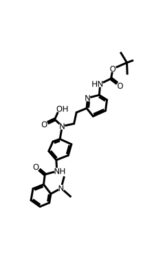 CN(C)c1ccccc1C(=O)Nc1ccc(N(CCc2cccc(NC(=O)OC(C)(C)C)n2)C(=O)O)cc1